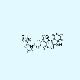 COC(=O)[C@@H]1CCCN1CCc1ccc2c(c1)COC2=C1C(=O)Nc2ccccc21